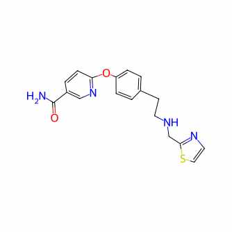 NC(=O)c1ccc(Oc2ccc(CCNCc3nccs3)cc2)nc1